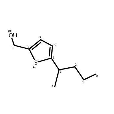 CCCC(C)c1ccc(CO)s1